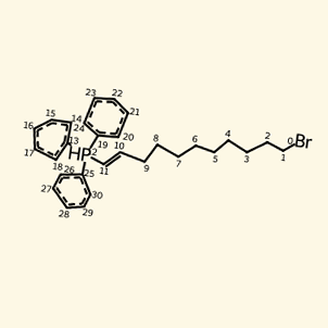 BrCCCCCCCCCC=C[PH](c1ccccc1)(c1ccccc1)c1ccccc1